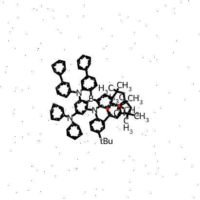 CC(C)(C)c1ccc(N2c3cc4c(cc3B3c5ccc(-c6ccccc6)cc5N(c5cccc(-c6ccccc6)c5)c5cc(N(c6ccccc6)c6ccccc6)cc2c53)C(C)(C)CCC4(C)C)c(-c2ccc3c(c2)C(C)(C)CC3(C)C)c1